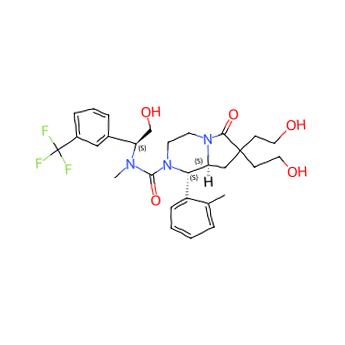 Cc1ccccc1[C@H]1[C@@H]2CC(CCO)(CCO)C(=O)N2CCN1C(=O)N(C)[C@H](CO)c1cccc(C(F)(F)F)c1